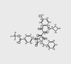 CC(C)(C)OC(=O)c1ccc(NC(=O)[C@H](Cc2ccccc2)NC(=O)C(=O)Nc2cc(Cl)ccc2OC2CCC2)cc1